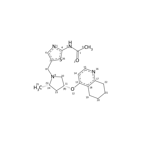 CC(=O)Nc1ncc(CN2C[C@H](Oc3ccnc4c3CCCC4)C[C@@H]2C)s1